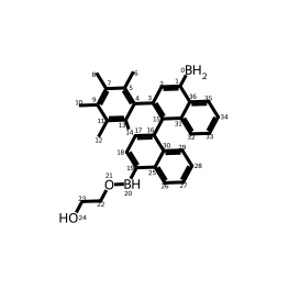 Bc1cc(-c2c(C)c(C)c(C)c(C)c2C)c(-c2ccc(BOCCO)c3ccccc23)c2ccccc12